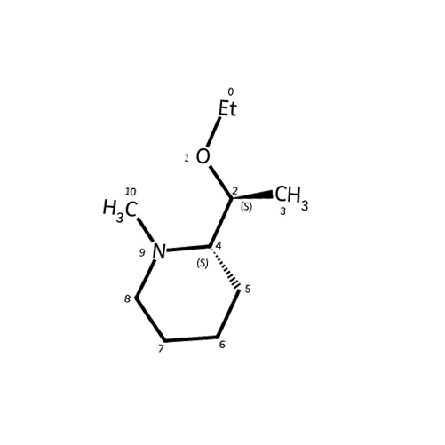 CCO[C@@H](C)[C@@H]1CCCCN1C